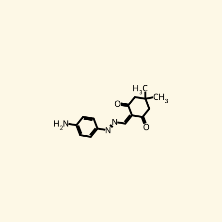 CC1(C)CC(=O)C(=CN=Nc2ccc(N)cc2)C(=O)C1